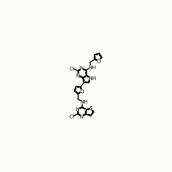 Clc1nc(NCc2ccc(-c3c[nH]c4c(NCc5ccco5)nc(Cl)nc34)o2)c2sccc2n1